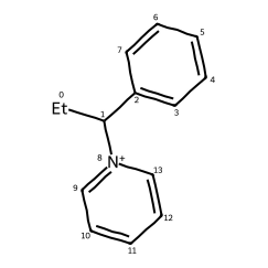 CCC(c1ccccc1)[n+]1ccccc1